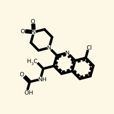 CC(NC(=O)O)c1cc2cccc(Cl)c2nc1N1CCS(=O)(=O)CC1